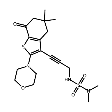 CN(C)S(=O)(=O)NCC#Cc1c(N2CCOCC2)sc2c1CC(C)(C)CC2=O